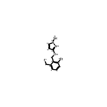 CCc1cccc(CF)c1COc1ccn(S)n1